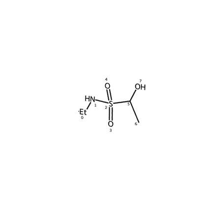 C[CH]NS(=O)(=O)C(C)O